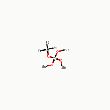 CCC(C)[O][Zr]([O]C(C)CC)([O]C(C)CC)[O][Si](CC)(CC)CC